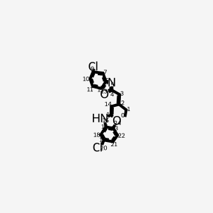 CCC(=Cc1nc2cc(Cl)ccc2o1)C=C1Nc2cc(Cl)ccc2O1